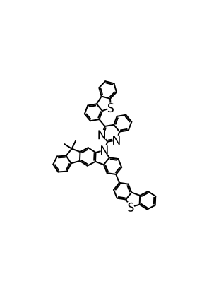 CC1(C)c2ccccc2-c2cc3c4cc(-c5ccc6sc7ccccc7c6c5)ccc4n(-c4nc(-c5cccc6c5sc5ccccc56)c5ccccc5n4)c3cc21